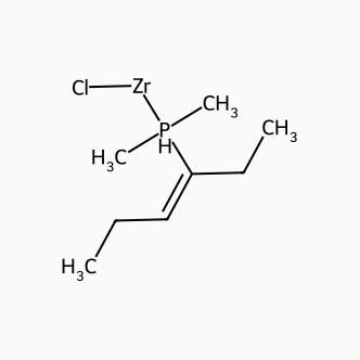 CCC=C(CC)[PH](C)(C)[Zr][Cl]